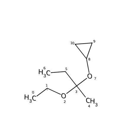 C[CH]OC(C)(CC)OC1CC1